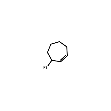 [CH2]CC1C=CCCCC1